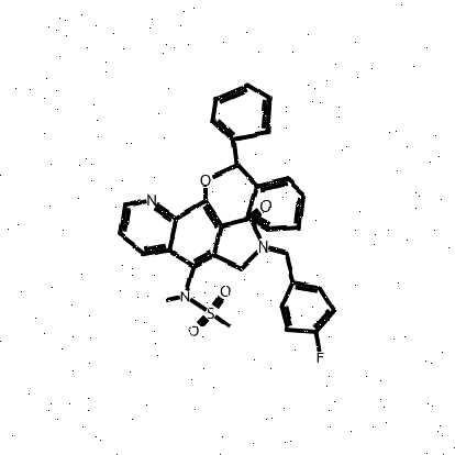 CN(c1c2c(c(OC(c3ccccc3)c3ccccc3)c3ncccc13)C(=O)N(Cc1ccc(F)cc1)C2)S(C)(=O)=O